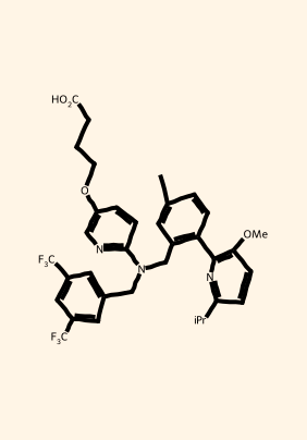 COc1ccc(C(C)C)nc1-c1ccc(C)cc1CN(Cc1cc(C(F)(F)F)cc(C(F)(F)F)c1)c1ccc(OCCCC(=O)O)cn1